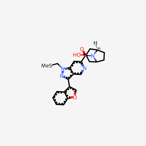 CSCn1nc(-c2coc3ccccc23)c2cnc(C(=O)N3C4CC[C@@H]3CC(O)C4)cc21